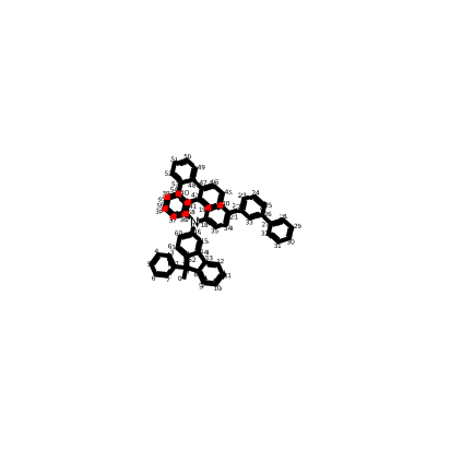 CC1(c2ccccc2)c2ccccc2-c2cc(N(c3ccc(-c4cccc(-c5ccccc5)c4)cc3)c3ccccc3-c3ccccc3-c3ccccc3-c3ccccc3)ccc21